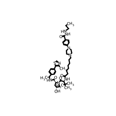 CCCNNC(=O)c1ccc(N2CCN(CCCCCCCC(=O)N[C@H](C(=O)N3C[C@H](O)C[C@H]3C(=O)N[C@@H](C)c3ccc(-c4scnc4C)cc3)C(C)(C)C)CC2)cc1